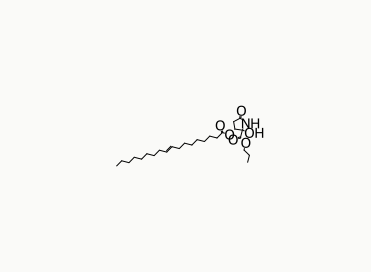 CCCCCCCCC=CCCCCCCCC(=O)OC1CC(=O)NC1(O)C(=O)OCCC